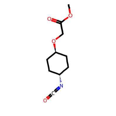 COC(=O)CO[C@H]1CC[C@H](N=C=O)CC1